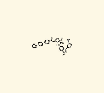 CS[C@@]1(C(=O)Nc2ccc3[nH]nc(-c4ccnc(C5CC5)c4)c3c2)CCN(CC(=O)N2CC=C(c3ccc(-c4ncccn4)cc3)CC2)C1